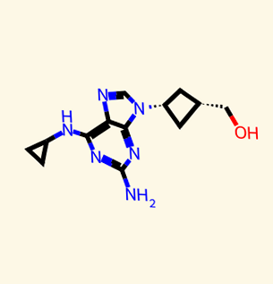 Nc1nc(NC2CC2)c2ncn([C@H]3C[C@@H](CO)C3)c2n1